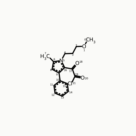 COCCCn1c(C)cc(-c2ccccc2)c1C(=O)C(=O)Cl